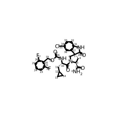 NC(=O)[C@@H]1C[C@@]2(CN1C(=O)[C@H](CC1CC1)NC(=O)OCc1c(F)cccc1F)C(=O)Nc1ccc(Cl)cc12